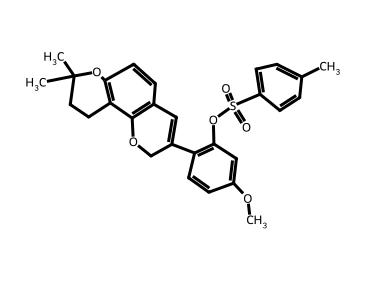 COc1ccc(C2=Cc3ccc4c(c3OC2)CCC(C)(C)O4)c(OS(=O)(=O)c2ccc(C)cc2)c1